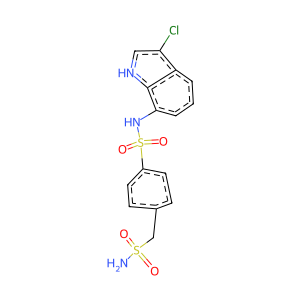 NS(=O)(=O)Cc1ccc(S(=O)(=O)Nc2cccc3c(Cl)c[nH]c23)cc1